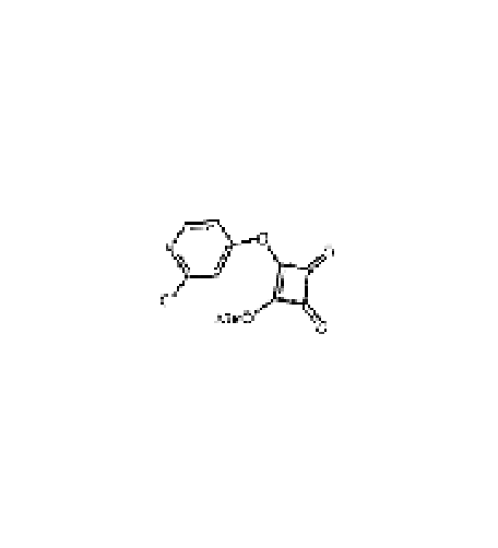 COc1c(Oc2ccnc(Cl)c2)c(=O)c1=O